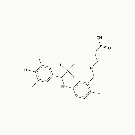 Cc1ccc(NC(c2cc(C)c(Cl)c(C)c2)C(F)(F)F)cc1CNCCC(=O)O